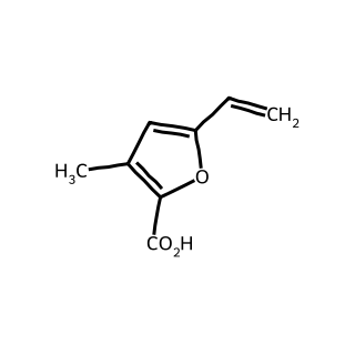 C=Cc1cc(C)c(C(=O)O)o1